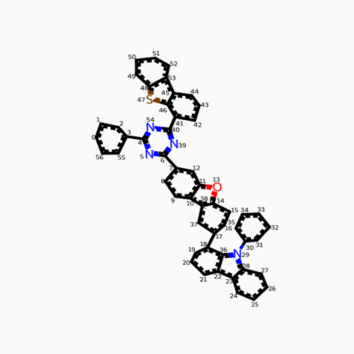 c1ccc(-c2nc(-c3ccc4c(c3)oc3ccc(-c5cccc6c7ccccc7n(-c7ccccc7)c56)cc34)nc(-c3cccc4c3sc3ccccc34)n2)cc1